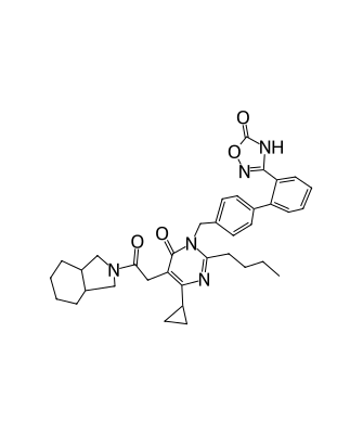 CCCCc1nc(C2CC2)c(CC(=O)N2CC3CCCCC3C2)c(=O)n1Cc1ccc(-c2ccccc2-c2noc(=O)[nH]2)cc1